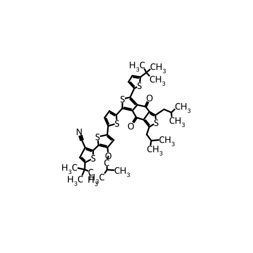 CC(C)COc1cc(-c2ccc(-c3sc(-c4ccc(C(C)(C)C)s4)c4c3C(=O)c3c(CC(C)C)sc(CC(C)C)c3C4=O)s2)sc1-c1sc(C(C)(C)C)cc1C#N